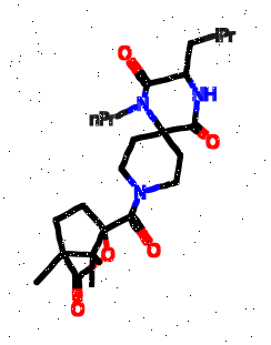 CCCN1C(=O)C(CC(C)C)NC(=O)C12CCN(C(=O)C13CCC(C)(C(=O)O1)C3(C)C)CC2